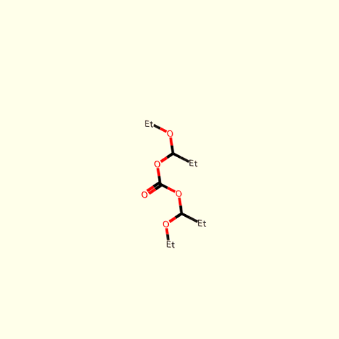 CCOC(CC)OC(=O)OC(CC)OCC